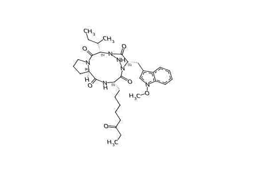 CCC(=O)CCCCC[C@@H]1NC(=O)[C@H]2CCCN2C(=O)[C@H](C(C)CC)N2NN(C1=O)[C@@H](Cc1cn(OC)c3ccccc13)C2=O